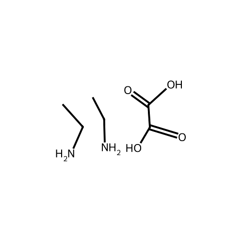 CCN.CCN.O=C(O)C(=O)O